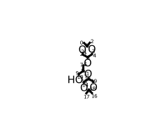 CC1(C)OCC(OCC(CO)OC2COC(C)(C)OC2)CO1